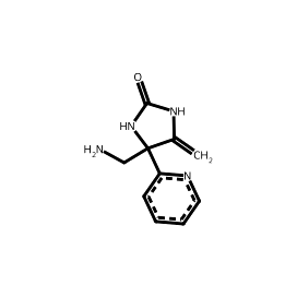 C=C1NC(=O)NC1(CN)c1ccccn1